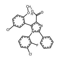 COc1ccc(Cl)cc1-c1c(C(=O)O)nc(-c2ccccc2)n1-c1cccc(Cl)c1F